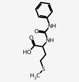 CSCCC(NC(=O)Nc1ccccc1)C(=O)O